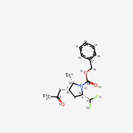 CC[C@H]1[C@@H](CC(=O)C(F)(F)F)C[C@@H](C(F)F)N1C(=O)OCc1ccccc1